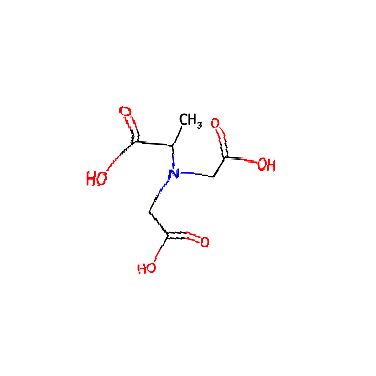 CC(C(=O)O)N(CC(=O)O)CC(=O)O